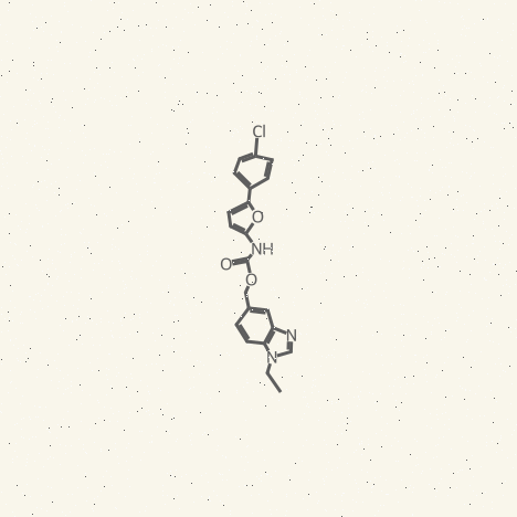 CCn1cnc2cc(COC(=O)Nc3ccc(-c4ccc(Cl)cc4)o3)ccc21